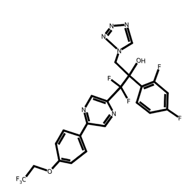 OC(Cn1cnnn1)(c1ccc(F)cc1F)C(F)(F)c1cnc(-c2ccc(OCC(F)(F)F)cc2)cn1